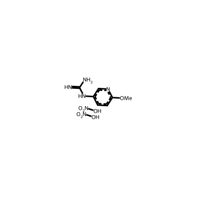 COc1ccc(NC(=N)N)cn1.O=[N+]([O-])O.O=[N+]([O-])O